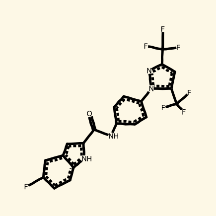 O=C(Nc1ccc(-n2nc(C(F)(F)F)cc2C(F)(F)F)cc1)c1cc2cc(F)ccc2[nH]1